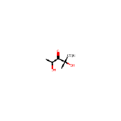 CCOC(=O)C(C)(O)C(=O)C(C)O